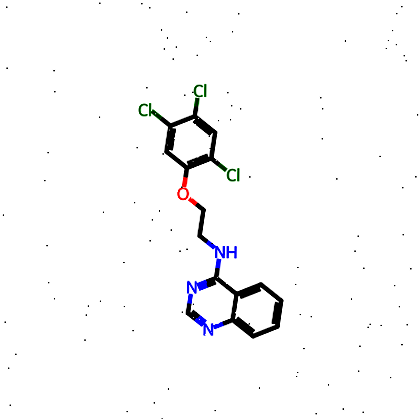 Clc1cc(Cl)c(OCCNc2ncnc3ccccc23)cc1Cl